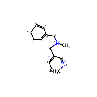 CCC(C)/C=C(\C=N/C)CN(C)CC1=CCCC=C1